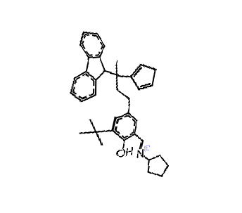 CC(C)(C)c1cc(CCC(C)(C2=CCC=C2)C2c3ccccc3-c3ccccc32)cc(/C=N/C2CCCC2)c1O